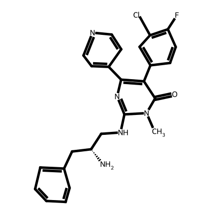 Cn1c(NC[C@H](N)Cc2ccccc2)nc(-c2ccncc2)c(-c2ccc(F)c(Cl)c2)c1=O